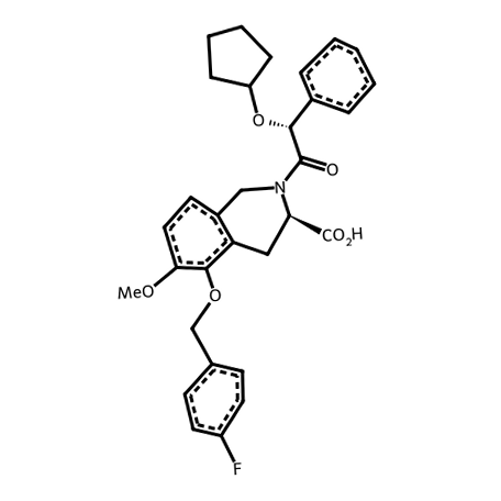 COc1ccc2c(c1OCc1ccc(F)cc1)C[C@H](C(=O)O)N(C(=O)[C@H](OC1CCCC1)c1ccccc1)C2